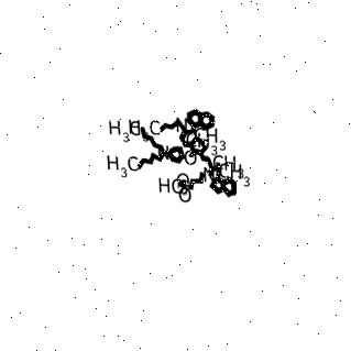 CCCCCCN(CCCCCC)c1ccc(OC2=C(/C=C/C3=[N+](CCCCS(=O)(=O)O)c4ccc5ccccc5c4C3(C)C)CCC/C2=C\C=C2\N(CCCCC)c3ccc4ccccc4c3C2(C)C)cc1